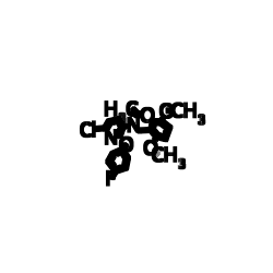 COc1ccc(OC)c(CN(C(C)=O)c2ccc(Cl)nc2Oc2ccc(F)cc2)c1